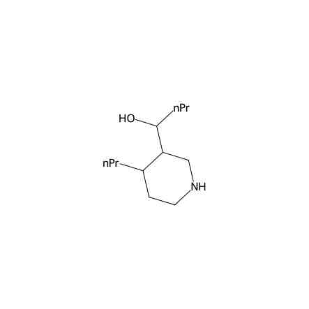 CCCC(O)C1CNCCC1CCC